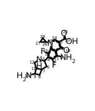 Nc1c(F)c(C2CC3CC(N)C3CN2)c(F)c2c1c(=O)c(C(=O)O)cn2C1CC1